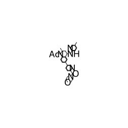 CC(=O)N1c2ccc(-c3ccc(C(=O)N4CCOCC4)nc3)cc2[C@H](Nc2ccc(C)cn2)C[C@@H]1C